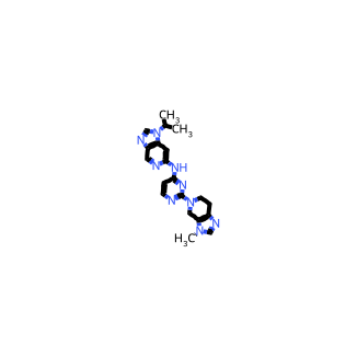 CC(C)n1cnc2cnc(Nc3ccnc(N4CCc5ncn(C)c5C4)n3)cc21